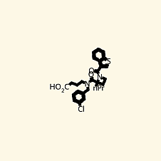 CCCC1(C(=O)N(CCCC(=O)O)Cc2cccc(Cl)c2)CCN1C(=O)c1csc2ccccc12